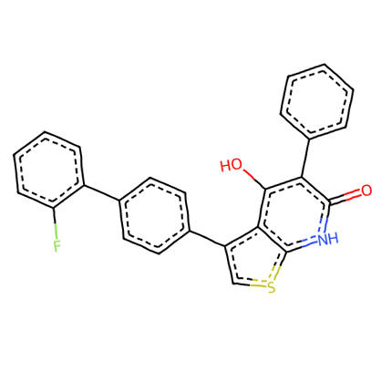 O=c1[nH]c2scc(-c3ccc(-c4ccccc4F)cc3)c2c(O)c1-c1ccccc1